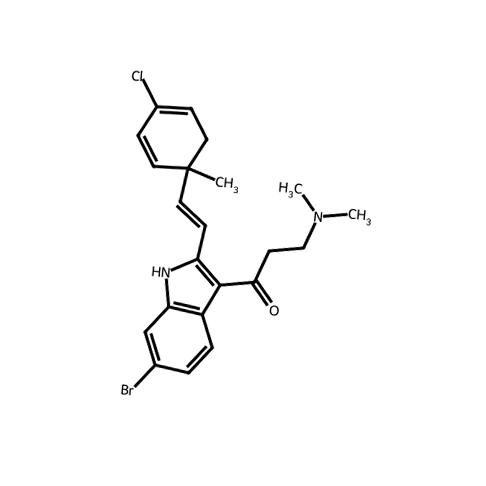 CN(C)CCC(=O)c1c(/C=C/C2(C)C=CC(Cl)=CC2)[nH]c2cc(Br)ccc12